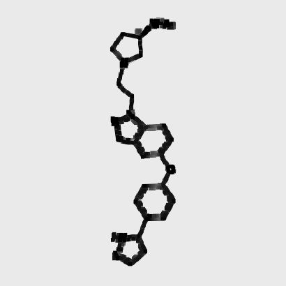 CC(=O)N[C@@H]1CCN(CCn2ncc3cc(Oc4ccc(-c5ccn[nH]5)cc4)ccc32)C1